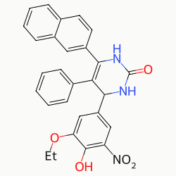 CCOc1cc(C2NC(=O)NC(c3ccc4ccccc4c3)=C2c2ccccc2)cc([N+](=O)[O-])c1O